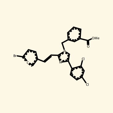 COC(=O)c1cccc(Cn2cc(-c3ccc(Cl)cc3Cl)nc2/C=C/c2ccc(Br)cc2)c1